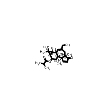 CC(C)C(=O)OC1[C@@H]2[C@@H]([C@@H]3C=C(CO)C[C@]4(O)C(=O)C=C[C@H]4[C@@]3(O)[C@@H]1C)C2(C)C